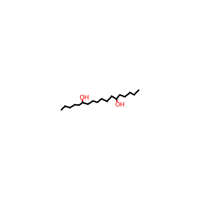 CCCCCC(O)CCCCCCC(O)CCCCC